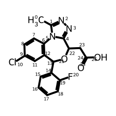 Cc1nnc2n1-c1ccc(Cl)cc1C(c1ccccc1F)OC2CC(=O)O